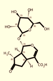 C[C@H]1C(=O)C[C@@H]2C(C(=O)O)=CO[C@@H](O[C@@H]3O[C@H](CO)[C@@H](O)[C@H](O)[C@H]3O)[C@@H]21